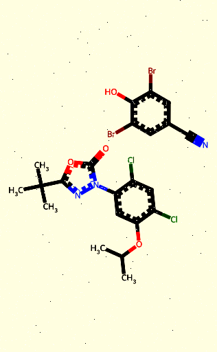 CC(C)Oc1cc(-n2nc(C(C)(C)C)oc2=O)c(Cl)cc1Cl.N#Cc1cc(Br)c(O)c(Br)c1